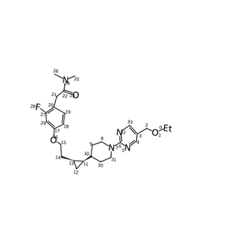 CCOCc1cnc(N2CCC([C@H]3C[C@H]3CCOc3ccc(CC(=O)N(C)C)c(F)c3)CC2)nc1